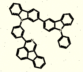 c1ccc(-n2c3ccccc3c3cc(-c4ccc5c6ccccc6n(-c6cccc(-c7ncc8c9c(cccc79)-c7ccccc7-8)c6)c5c4)ccc32)cc1